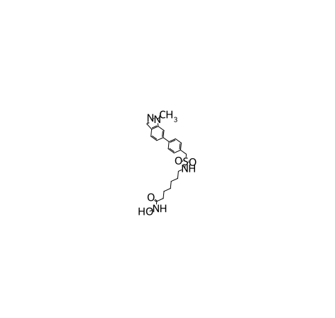 Cn1ncc2ccc(-c3ccc(CS(=O)(=O)NCCCCCCC(=O)NO)cc3)cc21